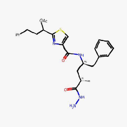 CC(=O)OC(CCC(C)C)c1nc(C(=O)N[C@@H](Cc2ccccc2)C[C@H](C)C(=O)NN)cs1